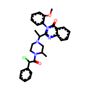 COc1ccccc1-n1c(C(C)N2CCN(C(=O)C(Cl)c3ccccc3)C(C)C2)nc2ccccc2c1=O